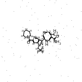 Cc1ccncc(-c2nn(CC(F)(F)F)c3cc(C(=O)N4CCCCCC4)ncc23)[nH]cc1C(N)=O